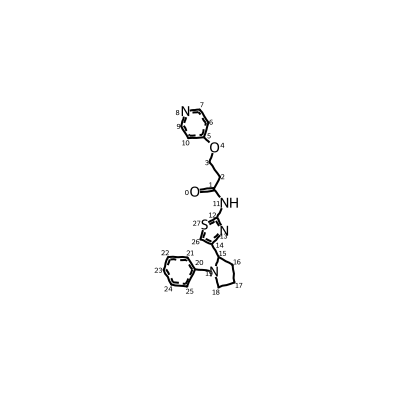 O=C(CCOc1ccncc1)Nc1nc(C2CCCN2c2ccccc2)cs1